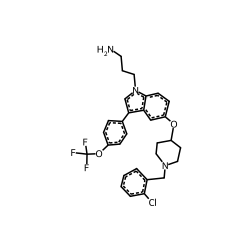 NCCCn1cc(-c2ccc(OC(F)(F)F)cc2)c2cc(OC3CCN(Cc4ccccc4Cl)CC3)ccc21